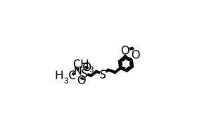 CN(C)S(=O)(=O)CCSCCc1ccc2c(c1)OCO2